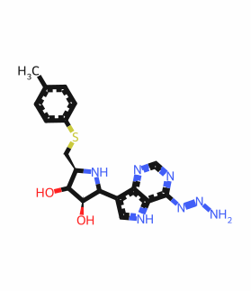 Cc1ccc(SC[C@H]2NC(c3c[nH]c4c(N=NN)ncnc34)[C@@H](O)C2O)cc1